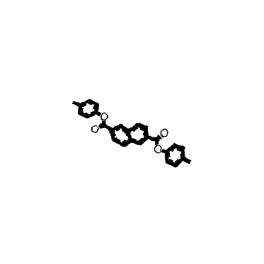 Cc1ccc(OC(=O)c2ccc3cc(C(=O)Oc4ccc(C)cc4)ccc3c2)cc1